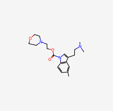 Cc1ccc2c(c1)c(CCN(C)C)cn2C(=O)OCCN1CCOCC1